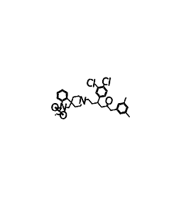 Cc1cc(C)cc(CC(=O)CC(CCN2CCC3(CC2)CN(S(C)(=O)=O)c2ccccc23)c2ccc(Cl)c(Cl)c2)c1